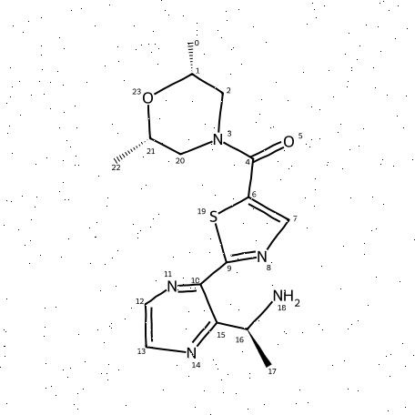 C[C@@H]1CN(C(=O)c2cnc(-c3nccnc3[C@H](C)N)s2)C[C@H](C)O1